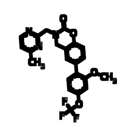 COc1cc(OC(F)(F)F)ccc1-c1ccc2c(c1)CN(Cc1nccc(C)n1)C(=O)O2